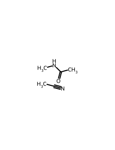 CC#N.CNC(C)=O